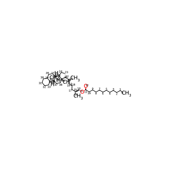 CCCCCCCCCCCC(=O)OC=C(C)CCC[C@@H](C)[C@H]1CC[C@H]2[C@@H]3CCC4CCCC[C@]4(C)[C@H]3CC[C@]12C